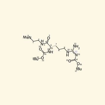 CNCCNC(=O)[C@H](CCCN/C(N)=N\C(=O)OC(C)(C)C)NC(=O)OC(C)(C)C